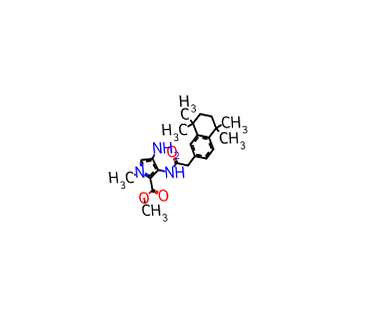 COC(=O)c1c(NC(=O)Cc2ccc3c(c2)C(C)(C)CCC3(C)C)c(N)cn1C